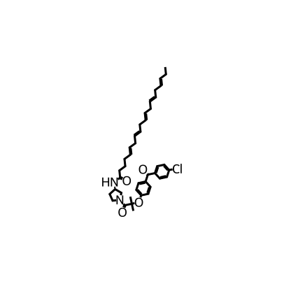 CCC=CCC=CCC=CCC=CCC=CCCCC(=O)N[C@@H]1CCN(C(=O)C(C)(C)Oc2ccc(C(=O)c3ccc(Cl)cc3)cc2)C1